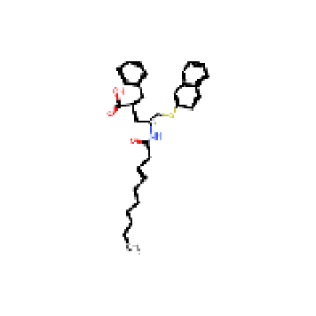 CCCCCCC=CCC(=O)N[C@H](CSc1ccc2ccccc2c1)CC(Cc1ccccc1)C(=O)O